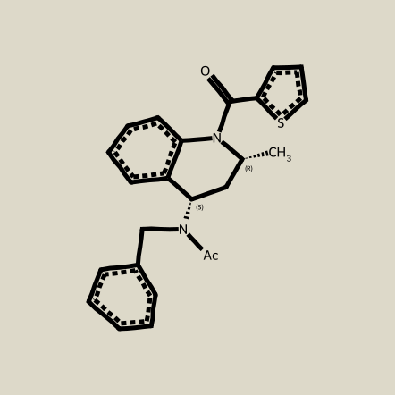 CC(=O)N(Cc1ccccc1)[C@H]1C[C@@H](C)N(C(=O)c2cccs2)c2ccccc21